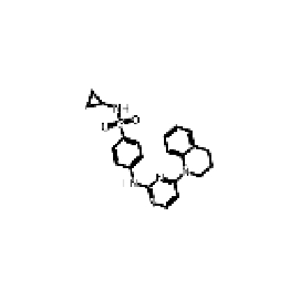 O=S(=O)(NC1CC1)c1ccc(Nc2nccc(N3CCCc4ccccc43)n2)cc1